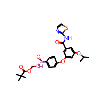 CC(C)Oc1cc(Oc2ccc([PH](=O)OCOC(=O)C(C)(C)C)cc2)cc(C(=O)Nc2nccs2)c1